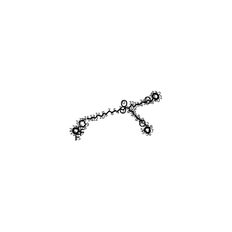 O=C(OCCCCCCCCCCCCC[C@H]1CC[C@H](c2cccc(F)c2F)CC1)C(CCCCCCOCc1ccccc1)CCCCCCOCc1ccccc1